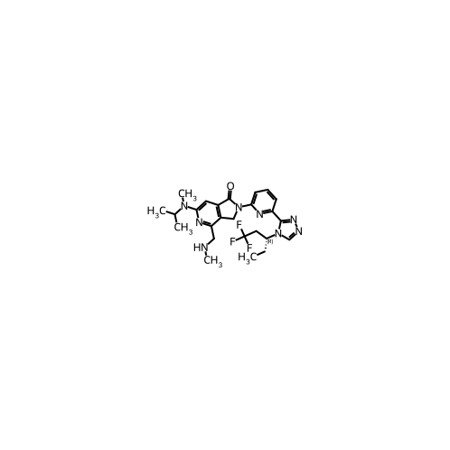 CC[C@H](CC(F)(F)F)n1cnnc1-c1cccc(N2Cc3c(cc(N(C)C(C)C)nc3CNC)C2=O)n1